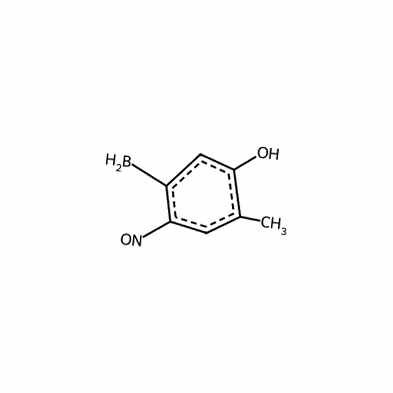 Bc1cc(O)c(C)cc1N=O